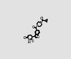 O=C1CCC(c2coc3ccc(C(=O)N4CCN(C(=O)C5CC5)CC4)cc23)C(=O)N1